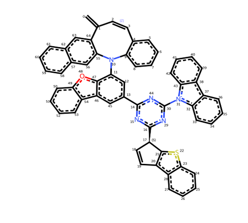 C=C1/C=C\c2ccccc2N(c2cc(-c3nc([C@@H]4C=Cc5c4sc4ccccc54)nc(-n4c5ccccc5c5ccccc54)n3)cc3c2oc2ccccc23)c2cc3ccccc3cc21